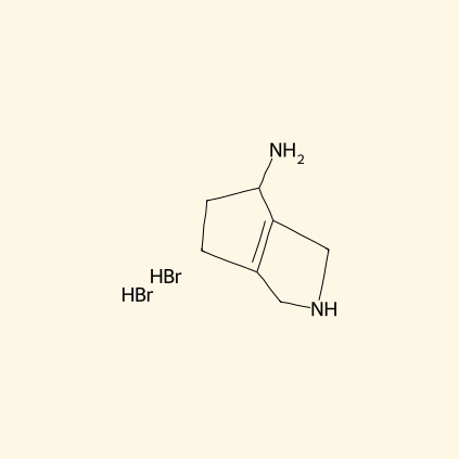 Br.Br.NC1CCC2=C1CNC2